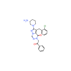 N[C@@H]1CCCN(c2nn3cnn(CC(=O)c4ccccc4)c(=O)c3c2Cc2ccccc2Cl)C1